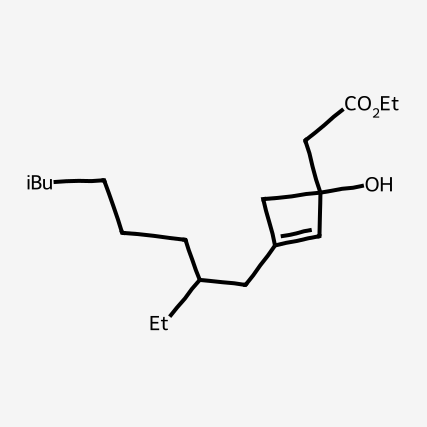 CCOC(=O)CC1(O)C=C(CC(CC)CCCC(C)CC)C1